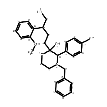 OCC(CCC1(O)OCCN(Cc2ccccc2)C1c1ccc(F)cc1)c1ccccc1OC(F)(F)F